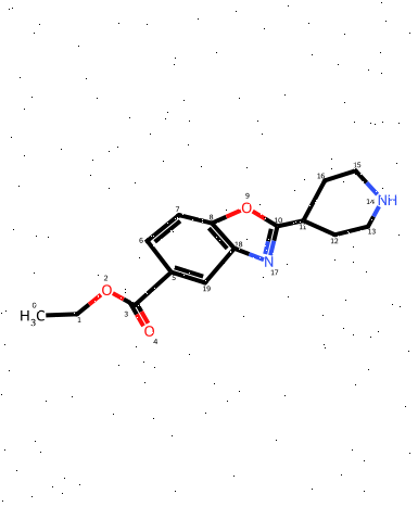 CCOC(=O)c1ccc2oc(C3CCNCC3)nc2c1